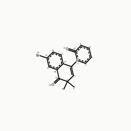 CC1(C)C=C(n2ccccc2=O)c2ccc(Br)cc2C1=O